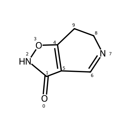 O=c1[nH]oc2c1C=NCC2